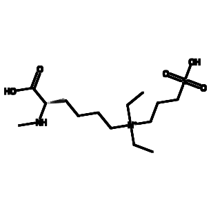 CC[N+](CC)(CCCC[C@H](NC)C(=O)O)CCCS(=O)(=O)O